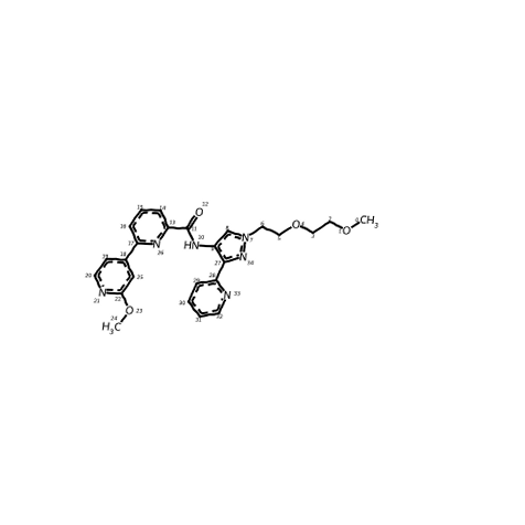 COCCOCCn1cc(NC(=O)c2cccc(-c3ccnc(OC)c3)n2)c(-c2ccccn2)n1